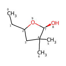 CCC1CC(C)(C)[C@H](O)O1